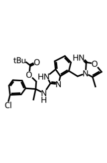 Cc1coc(=N)n1Cc1cccc2[nH]c(NC(C)(COC(=O)C(C)(C)C)c3cccc(Cl)c3)nc12